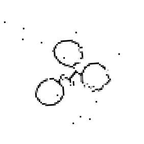 O=C(OC1CCCCCCCCCCC1)C(C1CCCCCCCCCCC1)C1CCCCCCCCCCC1